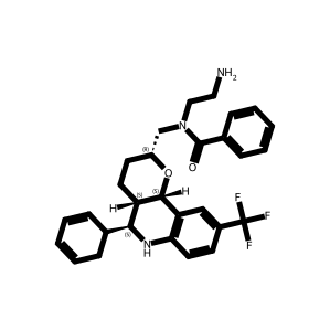 NCCN(C[C@H]1CC[C@@H]2[C@H](O1)c1cc(C(F)(F)F)ccc1N[C@H]2C1C=CC=CC1)C(=O)c1ccccc1